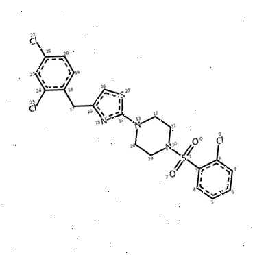 O=S(=O)(c1ccccc1Cl)N1CCN(c2nc(Cc3ccc(Cl)cc3Cl)cs2)CC1